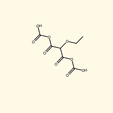 CCOC(C(=O)OC(=O)O)C(=O)OC(=O)O